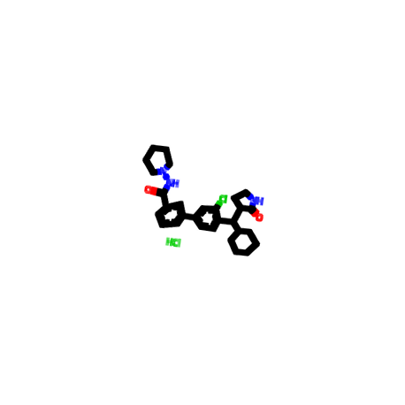 Cl.O=C(NN1CCCCC1)c1cccc(-c2ccc(C(C3CCCCC3)C3CCNC3=O)c(Cl)c2)c1